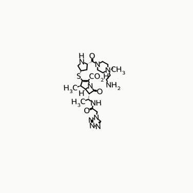 CC(NC(=O)Cn1cnnn1)[C@H]1C(=O)N2C(C(=O)O)=C(S[C@@H]3CN[C@H](C(=O)N4CC[N+](C)(CCN)CC4)C3)[C@H](C)[C@H]12